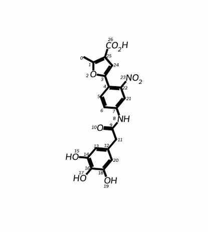 Cc1oc(-c2ccc(NC(=O)Cc3cc(O)c(O)c(O)c3)cc2[N+](=O)[O-])cc1C(=O)O